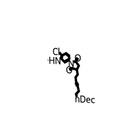 CCCCCCCCCCCCC#CCCC1CC(=O)N(c2ccc(Cl)c([NH])c2)C1=O